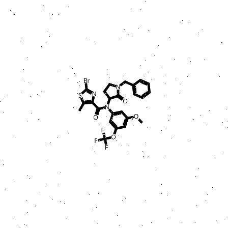 COc1cc(OC(F)(F)F)cc(N(C(=O)c2nc(Br)sc2C)C2CCN(Cc3ccccc3)C2=O)c1